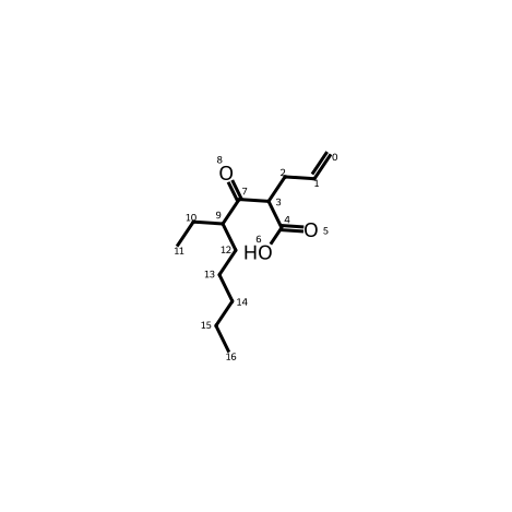 C=CCC(C(=O)O)C(=O)C(CC)CCCCC